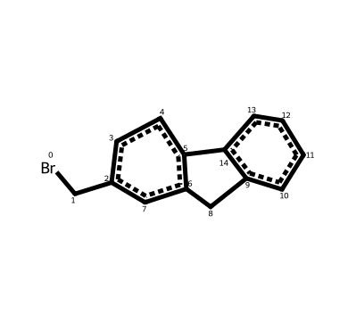 BrCc1ccc2c(c1)Cc1ccccc1-2